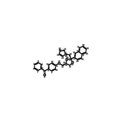 O=C(c1ccccc1)c1ccc(OC[C@@H]2CO[C@@](Cn3ccnc3)(c3ccc4ccccc4c3)O2)cc1